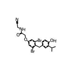 CC(C)c1cc(Cc2c(Br)cc(OCC(=O)NCC#N)cc2Br)ccc1O